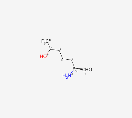 N[C@H](C=O)CCCC(O)C(F)(F)F